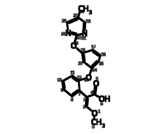 COC=C(C(=O)O)c1ccccc1Oc1cccc(Oc2ncc(C)cn2)c1